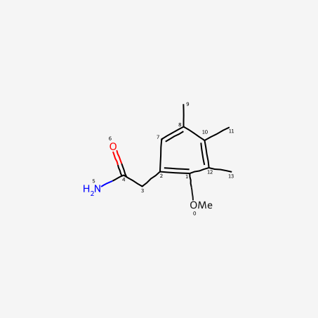 COc1c(CC(N)=O)cc(C)c(C)c1C